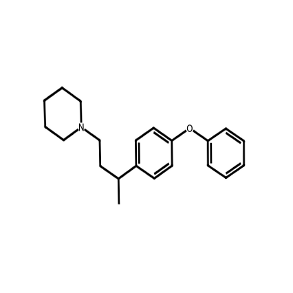 CC(CCN1CCCCC1)c1ccc(Oc2ccccc2)cc1